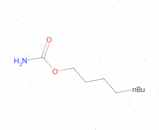 [CH2]CCCCCCCOC(N)=O